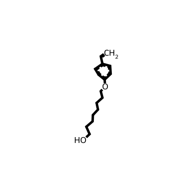 C=Cc1ccc(OCCCCCCCCO)cc1